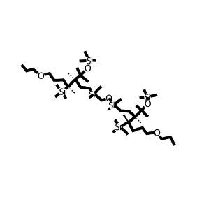 CCCOCCC[C@@](C)([C@@](C)(CC[Si](C)(C)OC[Si](C)(C)CC[C@](C)(C(C)(C)O[Si](C)(C)C)[C@](C)(CCCOCCC)[Si](C)(C)C)C(C)(C)O[Si](C)(C)C)[Si](C)(C)C